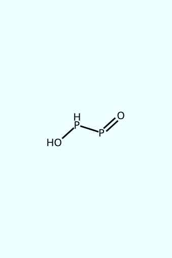 O=PPO